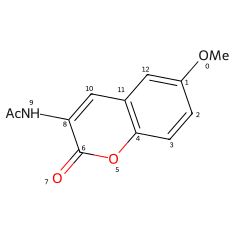 COc1ccc2oc(=O)c(NC(C)=O)cc2c1